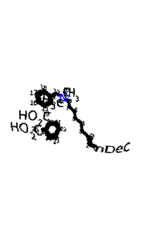 CCCCCCCCCCCCCCCCCC[N+](C)(C)Cc1ccccc1.O=C(O)c1ccccc1C(=O)O